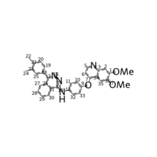 COc1cc2nccc(Oc3ccc(Nc4nnc(-c5ccc(C)c(C)c5)c5ccccc45)cc3)c2cc1OC